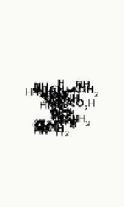 CC[C@H](C)[C@H](NC(=O)[C@H](CCCNC(=N)N)NC(=O)[C@H](C)NC(=O)[C@H](CCCNC(=N)N)NC(=O)[C@@H]1CCCN1C(=O)[C@@H]1CCCN1C(=O)[C@H](CCC(N)=O)NC(=O)[C@@H](N)Cc1c[nH]c2ccccc12)C(=O)O